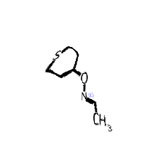 C/C=N/OC1CCSCC1